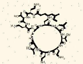 CCC(C)CCCCC(=O)N[C@@H](CCN)C(=O)N[C@H](C(=O)N[C@H](CCN)C(=O)N[C@H]1CCNC(=O)[C@H](C(C)O)NC(=O)[C@H](CCN)NC(=O)[C@H](CCN)NC(=O)[C@H](C(C)O)NC(=O)[C@@H](CC(C)C)NC(=O)[C@H](CCN)NC1=O)C(C)O